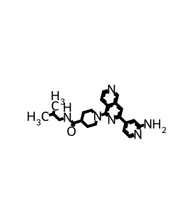 CC(C)CNC(=O)C1CCN(c2nc(-c3ccnc(N)c3)cc3cnccc23)CC1